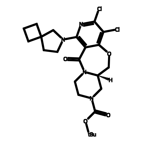 CC(C)(C)OC(=O)N1CCN2C(=O)c3c(N4CCC5(CCC5)C4)nc(Cl)c(Cl)c3OC[C@H]2C1